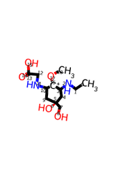 CCNC1C[C@](O)(CO)CC(NCC(=O)O)[C+]1OC